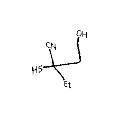 CCC(S)(C#N)CO